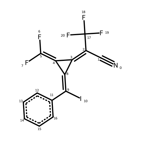 N#C/C(=C1/C(=C(F)F)/C1=C(/I)c1ccccc1)C(F)(F)F